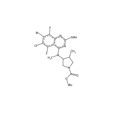 CSc1nc(N(C)C2CN(C(=O)OC(C)(C)C)CC2C)c2c(F)c(Cl)c(Br)c(F)c2n1